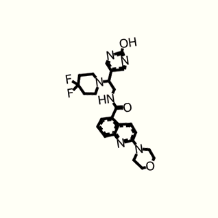 O=C(NCC(c1cnc(O)nc1)N1CCC(F)(F)CC1)c1cccc2nc(N3CCOCC3)ccc12